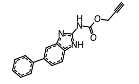 C#CCOC(=O)Nc1nc2cc(-c3ccccc3)ccc2[nH]1